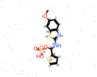 COc1ccc2nc(NC(O[PH](=O)O)c3cccs3)sc2c1